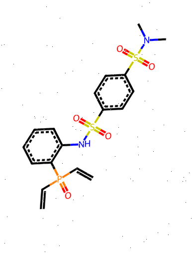 C=CP(=O)(C=C)c1ccccc1NS(=O)(=O)c1ccc(S(=O)(=O)N(C)C)cc1